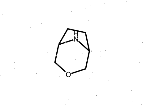 C1CC2COC[C]1N2